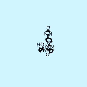 O=C1CCc2nc(N3CCC(c4ncc(Cl)cn4)CC3)nc(NC3(CO)CCC3)c21